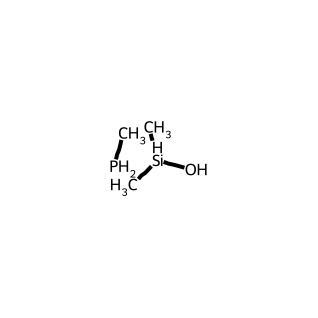 CP.C[SiH](C)O